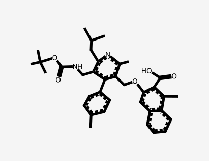 Cc1ccc(-c2c(COc3cc4ccccc4c(C)c3C(=O)O)c(C)nc(CC(C)C)c2CNC(=O)OC(C)(C)C)cc1